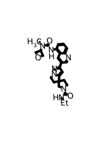 CCNC(=O)N1CCC2(CCn3nc(-c4cnc5cccc(NC(=O)N(C)C6COC6)c5c4)cc32)C1